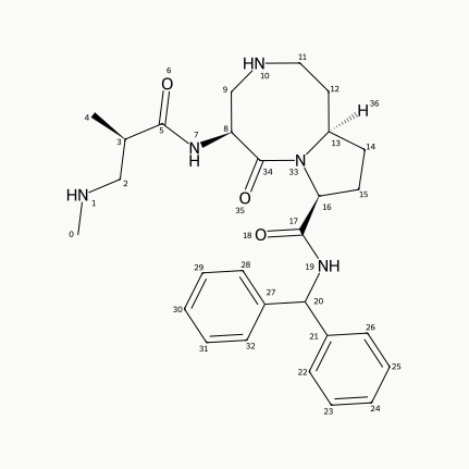 CNC[C@@H](C)C(=O)N[C@H]1CNCC[C@H]2CC[C@@H](C(=O)NC(c3ccccc3)c3ccccc3)N2C1=O